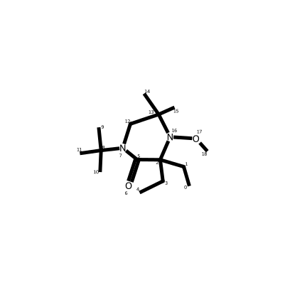 CCC1(CC)C(=O)N(C(C)(C)C)CC(C)(C)N1OC